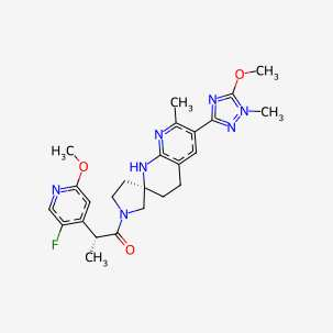 COc1cc([C@@H](C)C(=O)N2CC[C@]3(CCc4cc(-c5nc(OC)n(C)n5)c(C)nc4N3)C2)c(F)cn1